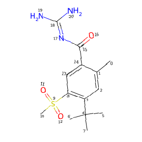 Cc1cc(C(C)(C)C)c(S(C)(=O)=O)cc1C(=O)N=C(N)N